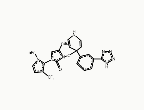 CCCCc1cn(-c2c(C(F)(F)F)ccn2CCC)c(=O)n1CC1(c2cccc(-c3nnn[nH]3)c2)C=CNC=C1